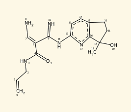 C=CCNC(=O)/C(=C/N)C(=N)Nc1ccc2c(n1)C(C)(O)CC2